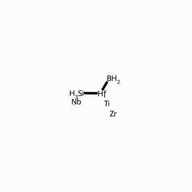 [BH2][Hf][SiH3].[Nb].[Ti].[Zr]